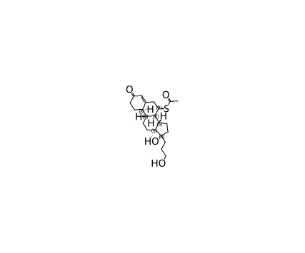 CC(=O)S[C@@H]1CC2=CC(=O)CC[C@@H]2[C@H]2CC[C@@]3(C)[C@@H](CC[C@@]3(O)CCCO)[C@@H]21